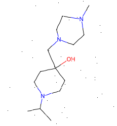 CC(C)N1CCC(O)(CN2CCN(C)CC2)CC1